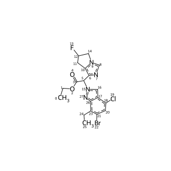 CCOC(=O)C(c1ncn2c1CC(F)C2)n1cc2c(Cl)cc(Br)c(CC)c2n1